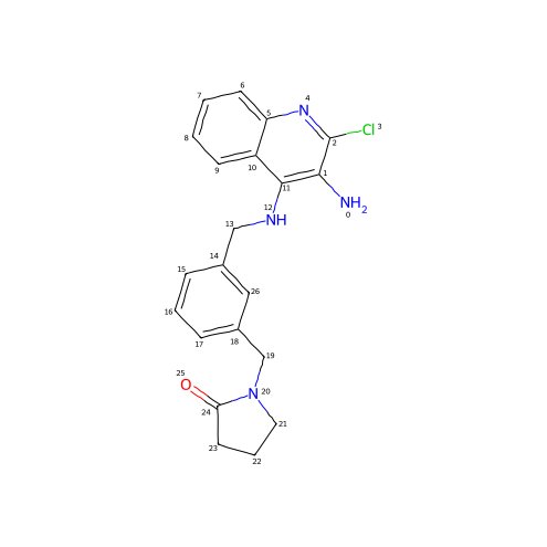 Nc1c(Cl)nc2ccccc2c1NCc1cccc(CN2CCCC2=O)c1